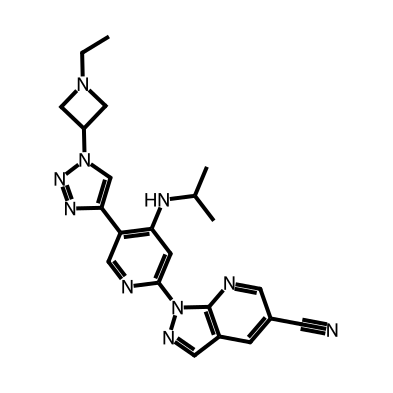 CCN1CC(n2cc(-c3cnc(-n4ncc5cc(C#N)cnc54)cc3NC(C)C)nn2)C1